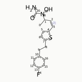 CC(/C=C\c1ccc(CCc2ccc(F)cc2)s1)N(O)C(N)=O